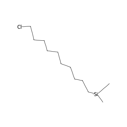 C[Si](C)CCCCCCCCCCCl